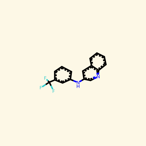 FC(F)(F)c1cccc(Nc2cnc3ccccc3c2)c1